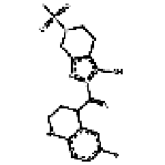 CS(=O)(=O)N1CCc2c(nn(C(=O)C3CCNc4ccc(F)cc43)c2N)C1